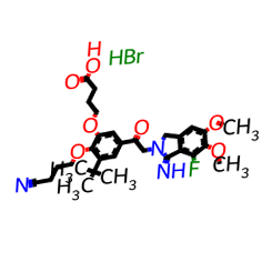 Br.COc1cc2c(c(F)c1OC)C(=N)N(CC(=O)c1cc(OCCCC(=O)O)c(OCCCC#N)c(C(C)(C)C)c1)C2